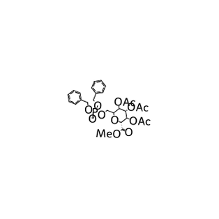 COC(=O)[C@@H]1OC(COP(=O)(OCc2ccccc2)OCc2ccccc2)[C@@H](OC(C)=O)[C@H](OC(C)=O)C1OC(C)=O